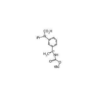 CC(C)N(C(=O)O)c1cccc([C@H](C)NC(=O)OC(C)(C)C)c1